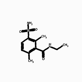 CCNC(=O)c1c(C)ccc(S(N)(=O)=O)c1C